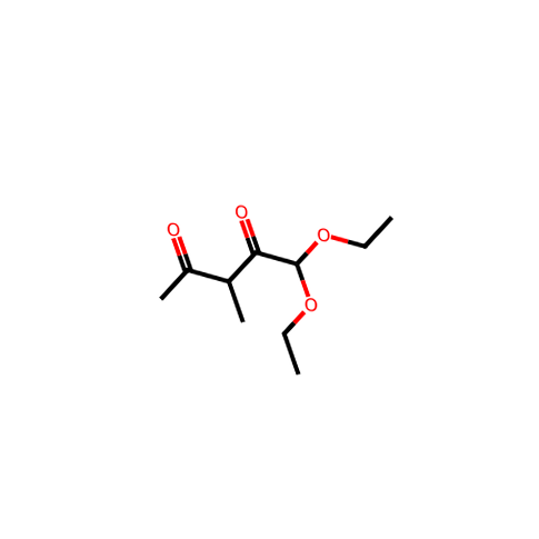 CCOC(OCC)C(=O)C(C)C(C)=O